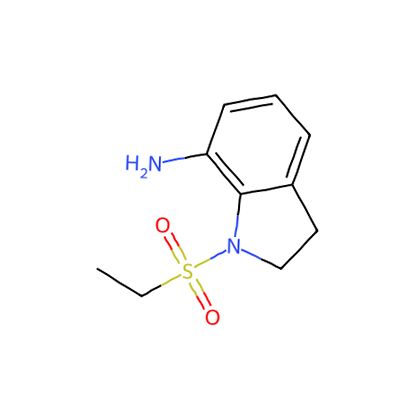 CCS(=O)(=O)N1CCc2cccc(N)c21